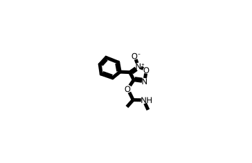 CNC(C)Oc1no[n+]([O-])c1-c1ccccc1